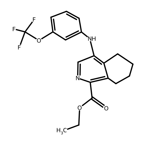 CCOC(=O)c1ncc(Nc2cccc(OC(F)(F)F)c2)c2c1CCCC2